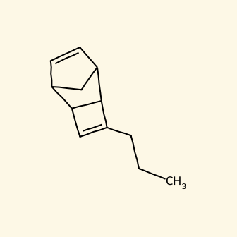 CCCC1=CC2C3C=CC(C3)C12